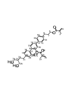 C=C(C)C(=O)OCCCc1ccc(-c2ccc(-c3ccc(CCC(CO)CO)cc3CC)c(OC(=O)C(=C)C)c2)cc1